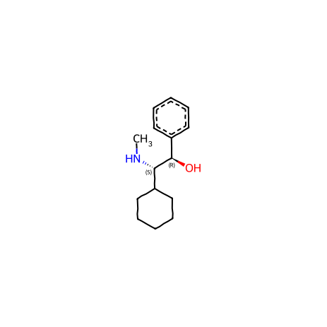 CN[C@@H](C1CCCCC1)[C@H](O)c1ccccc1